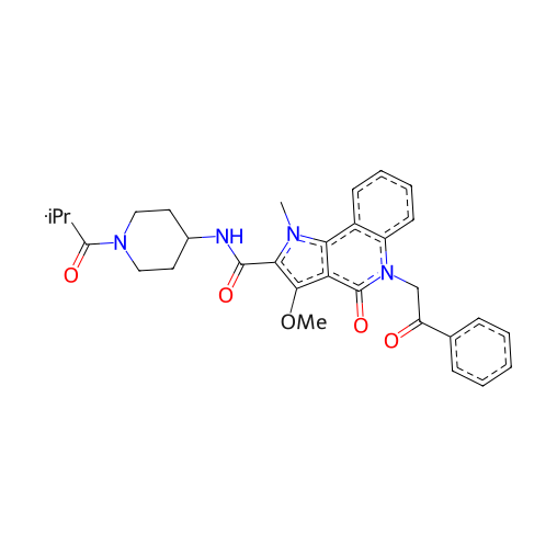 COc1c(C(=O)NC2CCN(C(=O)[C](C)C)CC2)n(C)c2c1c(=O)n(CC(=O)c1ccccc1)c1ccccc21